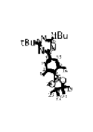 Cc1cc(-c2nc(C(C)(C)C)nc(C(C)(C)C)n2)cc(C)c1B1OC(C)(C)C(C)(C)O1